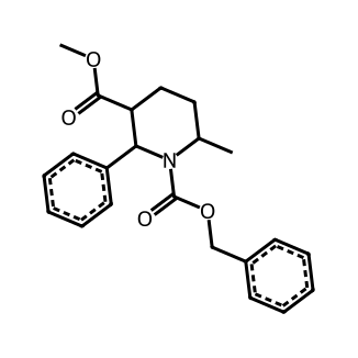 COC(=O)C1CCC(C)N(C(=O)OCc2ccccc2)C1c1ccccc1